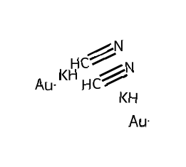 C#N.C#N.[Au].[Au].[KH].[KH]